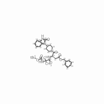 CC(C)(C)OC(=O)NC(C)(C)C(=O)N[C@H](CC(=O)OCc1ccccc1)C(=O)N1CCC(n2c(=O)[nH]c3ccccc32)CC1